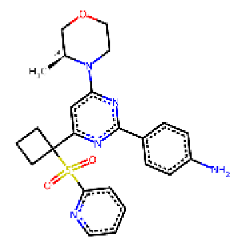 C[C@H]1COCCN1c1cc(C2(S(=O)(=O)c3ccccn3)CCC2)nc(-c2ccc(N)cc2)n1